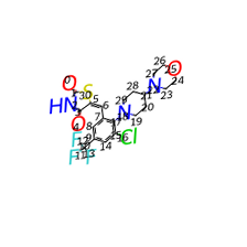 O=C1NC(=O)/C(=C\c2cc(C(F)(F)F)cc(Cl)c2N2CCC(N3CCOCC3)CC2)S1